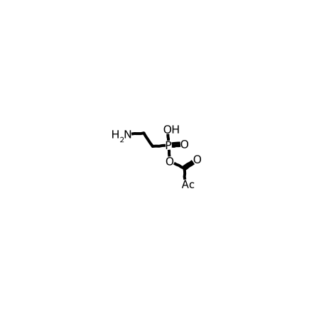 CC(=O)C(=O)OP(=O)(O)CCN